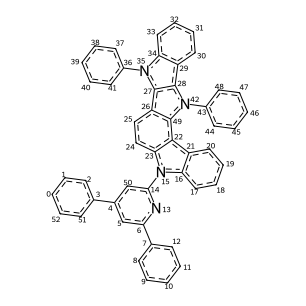 c1ccc(-c2cc(-c3ccccc3)nc(-n3c4ccccc4c4c3ccc3c5c(c6ccccc6n5-c5ccccc5)n(-c5ccccc5)c34)c2)cc1